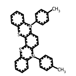 Cc1ccc(-n2c3ccccc3sc3c4sc5ccccc5n(-c5ccc(C)cc5)c4ccc32)cc1